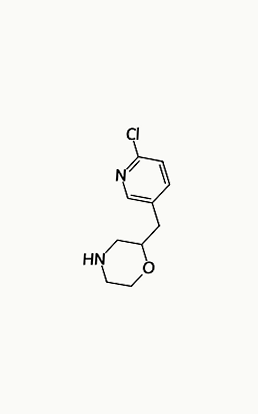 Clc1ccc(CC2CNCCO2)cn1